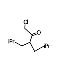 C[C](C)CC(CC(C)C)C(=O)CCl